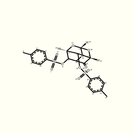 Cc1ccc(S(=O)(=O)OC2C3O[C@@H]4O[C@H]2C(OS(=O)(=O)c2ccc(C)cc2)[C@H](O4)C3=O)cc1